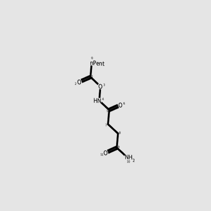 CCCCCC(=O)ONC(=O)CCC(N)=O